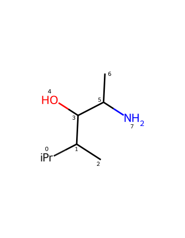 CC(C)C(C)C(O)C(C)N